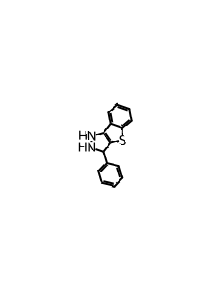 c1ccc(C2NNc3c2sc2ccccc32)cc1